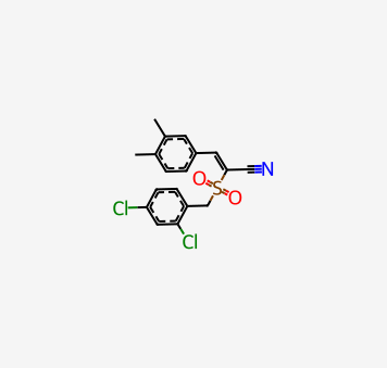 Cc1ccc(C=C(C#N)S(=O)(=O)Cc2ccc(Cl)cc2Cl)cc1C